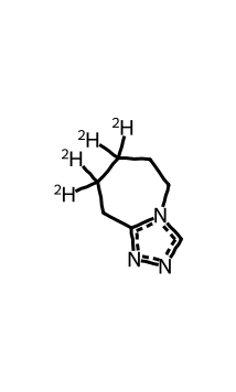 [2H]C1([2H])CCn2cnnc2CC1([2H])[2H]